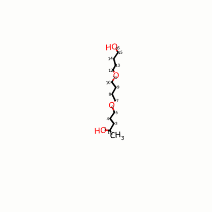 CC(O)CCCOCCCCOCCCCO